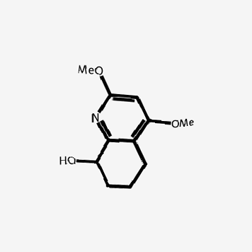 COc1cc(OC)c2c(n1)C(O)CCC2